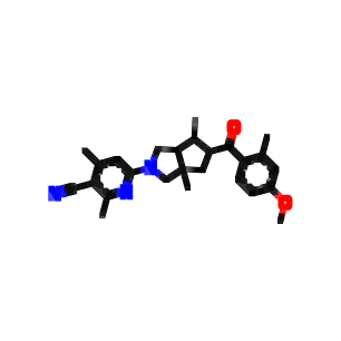 COc1ccc(C(=O)C2CC3(C)CN(c4cc(C)c(C#N)c(C)n4)CC3C2C)c(C)c1